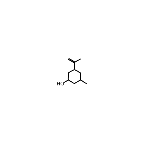 C=C(C)C1CC(C)CC(O)C1